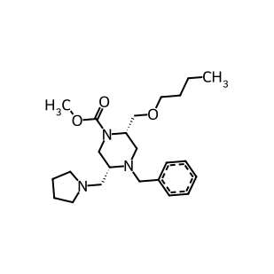 CCCCOC[C@@H]1CN(Cc2ccccc2)[C@H](CN2CCCC2)CN1C(=O)OC